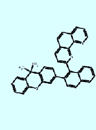 CC1(C)c2ccccc2Sc2cc(-c3ccc4ccccc4c3-c3ccc4ccc5cccnc5c4n3)ccc21